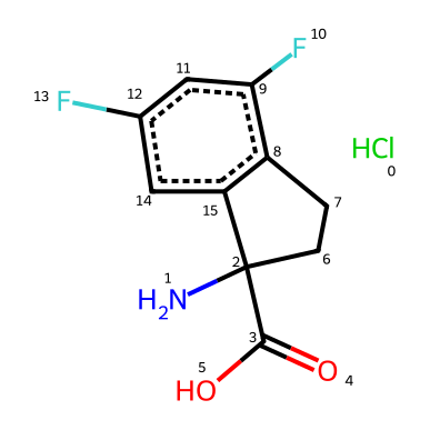 Cl.NC1(C(=O)O)CCc2c(F)cc(F)cc21